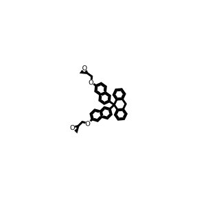 c1ccc2c(c1)Cc1ccccc1C2(c1ccc2cc(OCC3CO3)ccc2c1)c1ccc2cc(OCC3CO3)ccc2c1